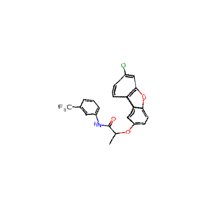 CC(Oc1ccc2oc3cc(Cl)ccc3c2c1)C(=O)Nc1cccc(C(F)(F)F)c1